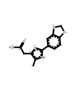 Cc1[nH]c(-c2ccc3c(c2)OCO3)nc1CC(N)=O